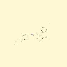 CCOC(=O)C1=C(C)N=c2s/c(=C\c3ccc(N4CCOCC4)cc3)c(=O)n2C1c1ccc(OCC)cc1